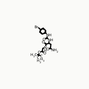 CC(C)(C)OC(=O)CNC(=O)C(CC(N)=O)NC(=O)Nc1ccc(Br)cc1